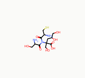 NC(CO)C(=O)N(C(=O)C(N)CS)C(CO)(CC(O)CO)C(=O)O